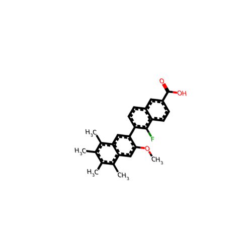 COc1cc2c(C)c(C)c(C)c(C)c2cc1-c1ccc2cc(C(=O)O)ccc2c1F